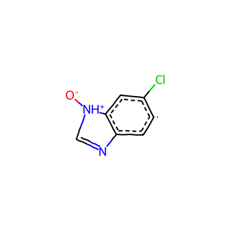 [O-][NH+]1C=Nc2c[c]c(Cl)cc21